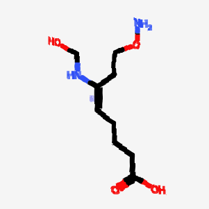 NOCC/C(=C\CCCC(=O)O)NCO